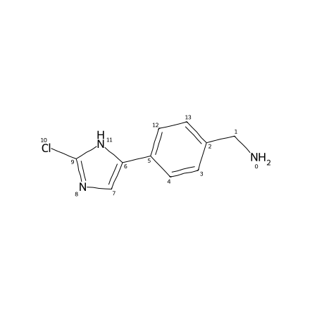 NCc1ccc(-c2cnc(Cl)[nH]2)cc1